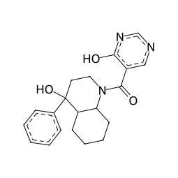 O=C(c1cncnc1O)N1CCC(O)(c2ccccc2)C2CCCCC21